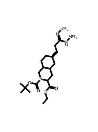 CCOC(=O)C1CC2C/C(=C/C/C(=N/N)NN)CCC2CN1C(=O)OC(C)(C)C